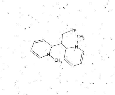 CN1C=CC=CC1C([CH2][In])C1C=CC=CN1C